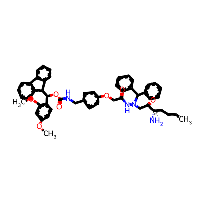 CCCC[C@H](N)C(=O)CN(NC(=O)COc1ccc(CNC(=O)OC(c2ccc(OC)cc2OC)C2c3ccccc3-c3ccccc32)cc1)C(c1ccccc1)c1ccccc1